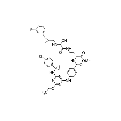 COC(=O)[C@@H](CCNC(=O)C(O)NCC1CC1c1cccc(F)c1)NC(=O)c1ccc(Nc2nc(NC3(c4ccc(Cl)cc4)CC3)nc(OCC(F)(F)F)n2)cc1